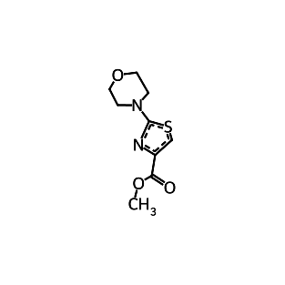 COC(=O)c1csc(N2CCOCC2)n1